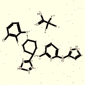 Fc1c(Cl)cccc1O[C@H]1CC[C@](Cc2cccc(Nc3cc[nH]n3)n2)(c2nn[nH]n2)CC1.O=C(O)C(F)(F)F